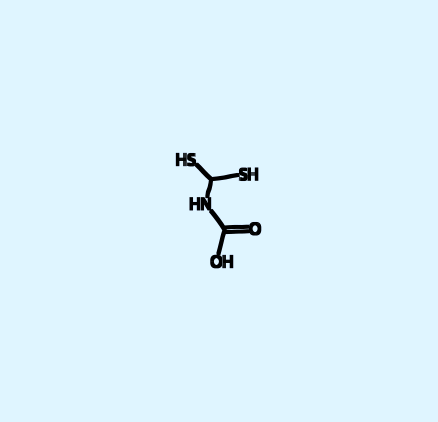 O=C(O)NC(S)S